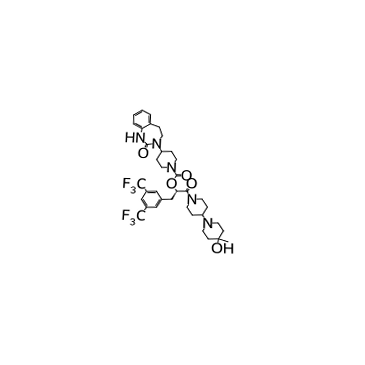 CC1(O)CCN(C2CCN(C(=O)[C@@H](Cc3cc(C(F)(F)F)cc(C(F)(F)F)c3)OC(=O)N3CCC(N4CCc5ccccc5NC4=O)CC3)CC2)CC1